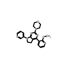 COc1ncccc1-c1nc(N2CCOCC2)nc2c1CCN2c1cccnc1